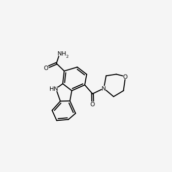 NC(=O)c1ccc(C(=O)N2CCOCC2)c2c1[nH]c1ccccc12